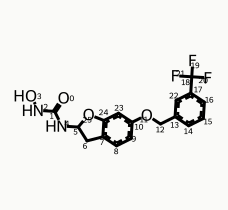 O=C(NO)NC1Cc2ccc(OCc3cccc(C(F)(F)F)c3)cc2O1